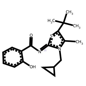 Cc1c(C(C)(C)C)s/c(=N\C(=O)c2ccccc2O)n1CC1CC1